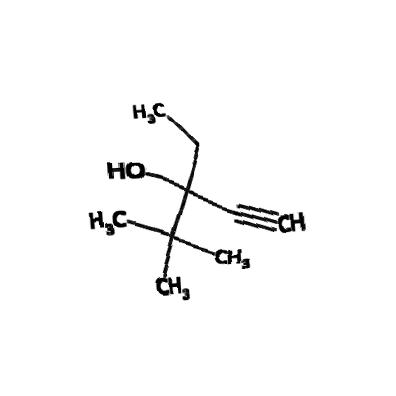 C#CC(O)(CC)C(C)(C)C